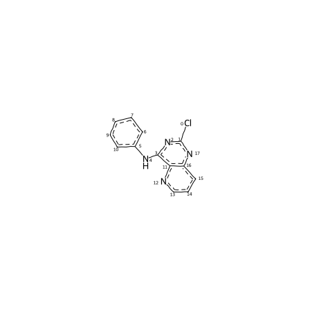 Clc1nc(Nc2ccccc2)c2ncccc2n1